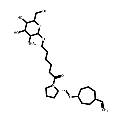 C=CC1CCCC(OC[C@@H]2CCCN2C(=O)CCCCCOC2OC(CO)C(O)C(O)C2NC(C)=O)CC1